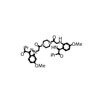 COc1ccc(C(=N)C(=O)C(C)C)c(NCC(=O)N2CCN(C(=O)Cn3nc(C(=O)C(C)C)c4ccc(OC)cc43)CC2)c1